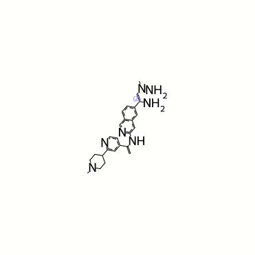 C=C(Nc1cc2cc(/C(N)=C/N(C)N)ccc2cn1)c1ccnc(C2CCN(C)CC2)c1